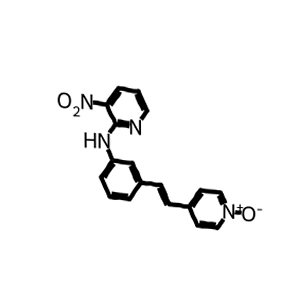 O=[N+]([O-])c1cccnc1Nc1cccc(C=Cc2cc[n+]([O-])cc2)c1